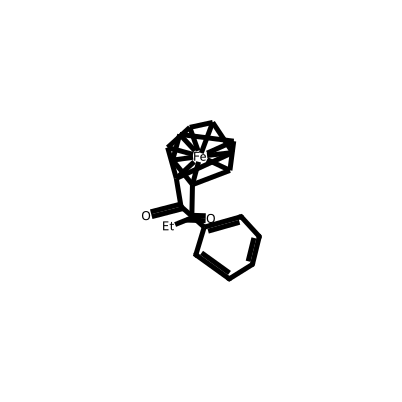 CCC(=O)[C]12[CH]3[CH]4[CH]5[CH]1[Fe]45321678[CH]2[CH]1[CH]6[C]7(C(=O)c1ccccc1)[CH]28